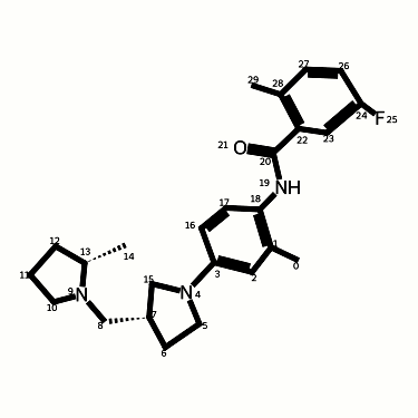 Cc1cc(N2CC[C@H](CN3CCC[C@@H]3C)C2)ccc1NC(=O)c1cc(F)ccc1C